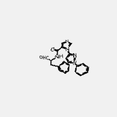 O=C[C@H](Cc1ccccc1)NC(=O)c1cncn1-c1ccn(-c2ccccc2)n1